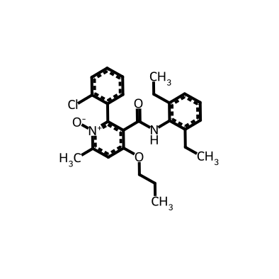 CCCOc1cc(C)[n+]([O-])c(-c2ccccc2Cl)c1C(=O)Nc1c(CC)cccc1CC